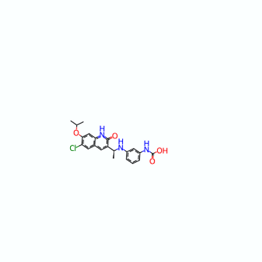 CC(C)Oc1cc2[nH]c(=O)c([C@H](C)Nc3cccc(NC(=O)O)c3)cc2cc1Cl